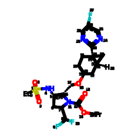 CCS(=O)(=O)N[C@H]1CC(C(F)F)N(C(=O)OC(C)C)[C@H]1CO[C@H]1CC[C@@]2(c3ncc(F)cn3)C[C@H]2C1